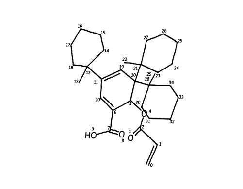 C=CC(=O)OC1C(C(=O)O)=CC(C2(C)CCCCC2)=CC1(C1(C)CCCCC1)C1(C)CCCCC1